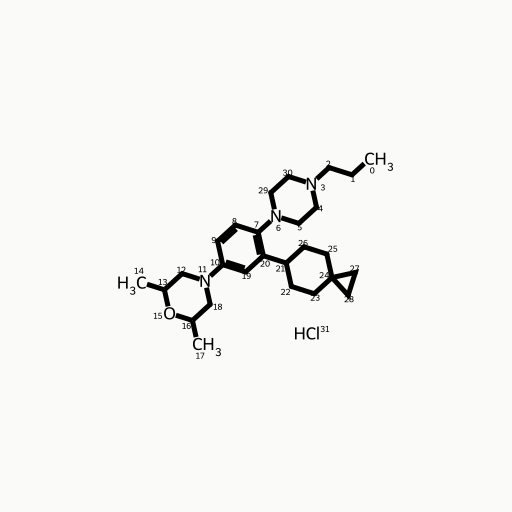 CCCN1CCN(c2ccc(N3CC(C)OC(C)C3)cc2C2CCC3(CC2)CC3)CC1.Cl